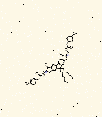 CCCCCCC1(CCCCCC)c2cc3c(cc2-c2cc4c(cc21)C/C(=N\OC(=O)Cc1ccc(OC)cc1)C4=O)C(=O)/C(=N\OC(=O)Cc1ccc(OC)cc1)C3